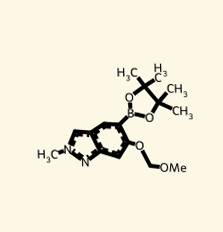 COCOc1cc2nn(C)cc2cc1B1OC(C)(C)C(C)(C)O1